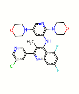 Cc1c(-c2cncc(Cl)c2)nc2cc(F)cc(F)c2c1Nc1cc(N2CCOCC2)cnc1N1CCOCC1